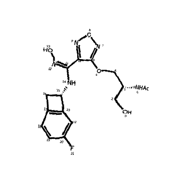 CC(=O)N[C@H](CO)COc1nonc1/C(=N\O)N[C@H]1Cc2ccc(F)cc21